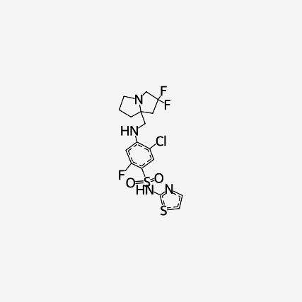 O=S(=O)(Nc1nccs1)c1cc(Cl)c(NCC23CCCN2CC(F)(F)C3)cc1F